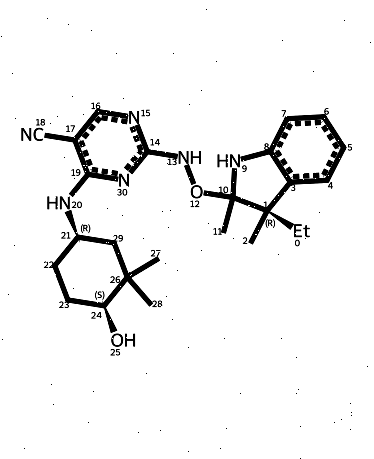 CC[C@]1(C)c2ccccc2NC1(C)ONc1ncc(C#N)c(N[C@@H]2CC[C@H](O)C(C)(C)C2)n1